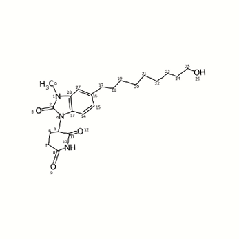 Cn1c(=O)n(C2CCC(=O)NC2=O)c2ccc(CCCCCCCCCO)cc21